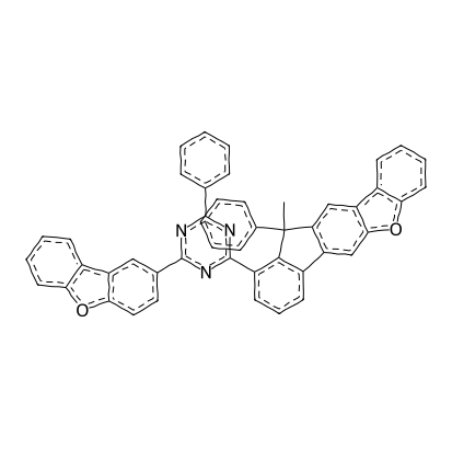 CC1(c2ccccc2)c2cc3c(cc2-c2cccc(-c4nc(-c5ccccc5)nc(-c5ccc6oc7ccccc7c6c5)n4)c21)oc1ccccc13